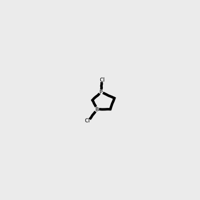 ClB1CCP(Cl)C1